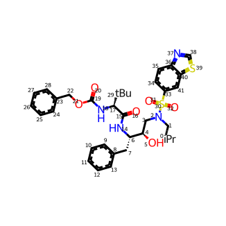 CC(C)CN(C[C@@H](O)[C@H](Cc1ccccc1)NC(=O)[C@@H](NC(=O)OCc1ccccc1)C(C)(C)C)S(=O)(=O)c1ccc2ncsc2c1